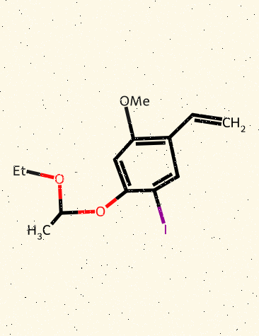 C=Cc1cc(I)c(OC(C)OCC)cc1OC